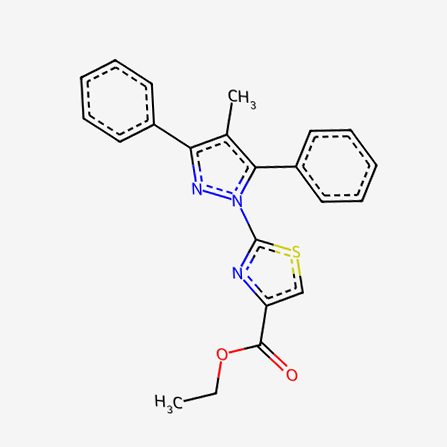 CCOC(=O)c1csc(-n2nc(-c3ccccc3)c(C)c2-c2ccccc2)n1